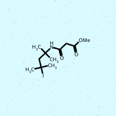 COC(=O)CC(=O)NC(C)(C)CC(C)(C)I